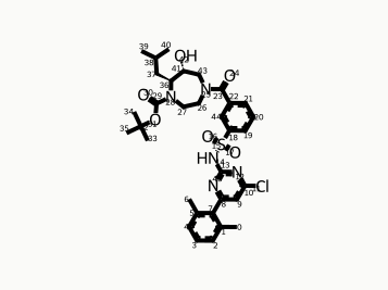 Cc1cccc(C)c1-c1cc(Cl)nc(NS(=O)(=O)c2cccc(C(=O)N3CCN(C(=O)OC(C)(C)C)[C@@H](CC(C)C)[C@H](O)C3)c2)n1